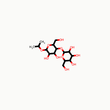 CC(C)OC1OC(CO)C(OC2OC(CO)C(O)C(O)C2O)C(O)C1O